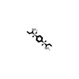 CCC(N)[Si](C)(C)c1ccc([Si](C)(C)C(N)CC)cc1